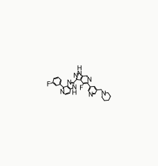 Fc1cccc(-c2nccc3[nH]c(-c4n[nH]c5cnc(-c6cncc(CN7CCCCC7)c6)c(F)c45)nc23)c1